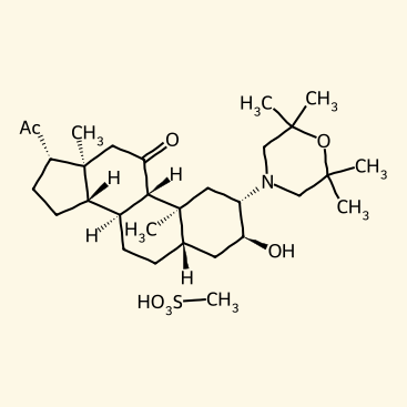 CC(=O)[C@H]1CC[C@H]2[C@@H]3CC[C@H]4C[C@H](O)[C@@H](N5CC(C)(C)OC(C)(C)C5)C[C@]4(C)[C@H]3C(=O)C[C@]12C.CS(=O)(=O)O